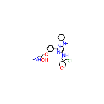 CNCC(O)COc1cccc(-c2nc(NCC3(CCl)CCOCC3)cc(N(C)C3CCCCC3)n2)c1